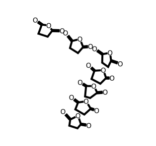 O=C1CCC(=O)O1.O=C1CCC(=O)O1.O=C1CCC(=O)O1.O=C1CCC(=O)O1.O=C1CCC(=O)O1.O=C1CCC(=O)O1.O=C1CCC(=O)O1